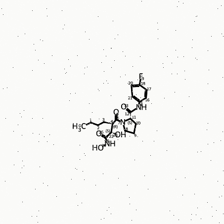 CCCC[C@@H](C(=O)N1CCC[C@H]1C(=O)Nc1ccc(F)cc1)[C@H](O)C(=O)NO